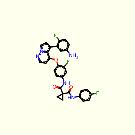 Nc1ccc(F)c(-c2ccn3nccc(Oc4ccc(NC(=O)C5(C(=O)Nc6ccc(F)cc6)CC5)cc4F)c23)c1